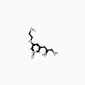 CCCOc1cc(CC(=N)CO)c[n+]([O-])c1